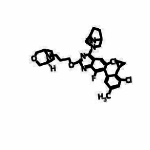 Cc1cc(Cl)c(C2CC2)c(-c2c(Cl)cc3c(N4CC5CCC(C4)N5)nc(OCCCN4C5CC[C@H]4COC5)nc3c2F)c1